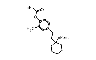 CCCCCC1(CCc2ccc(OC(=O)CCC)c(C)c2)CCCCC1